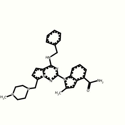 Cc1cc2c(C(N)=O)cccc2n1-c1nc(NCc2ccccc2)c2ccc(CN3CCN(C)CC3)n2n1